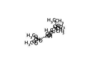 CCOC(=O)CCN(CC(=O)OCC)C(=O)CCCCCNC(=O)O[C@H]1CC[C@@]2(C)C(=CCC3C(CC)C(C)([C@H](C)C(C)CCCC(C)C)CCC32)C1